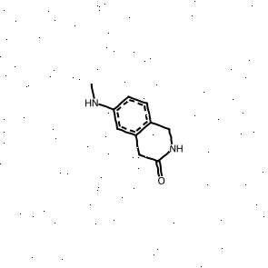 CNc1ccc2c(c1)CC(=O)NC2